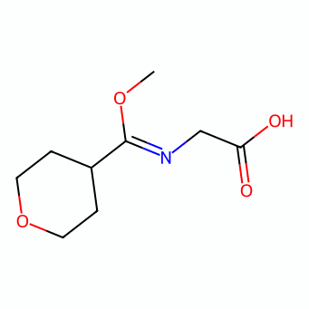 COC(=NCC(=O)O)C1CCOCC1